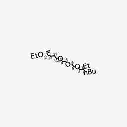 CCCCC(CC)COCCOCCOCCCC(=O)OCC